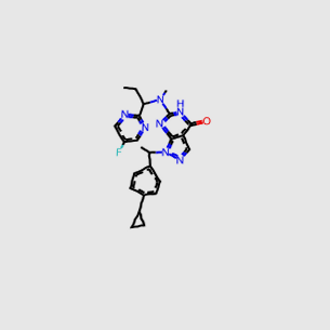 CCC(c1ncc(F)cn1)N(C)c1nc2c(cnn2C(C)c2ccc(C3CC3)cc2)c(=O)[nH]1